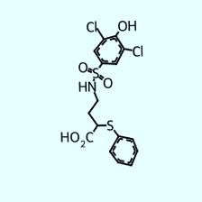 O=C(O)C(CCNS(=O)(=O)c1cc(Cl)c(O)c(Cl)c1)Sc1ccccc1